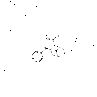 CN1C2CCC1[C@@H](C(=O)O)[C@H](Sc1ccccc1)C2